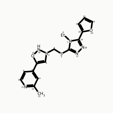 CCn1c(SCN2C=C(c3ccnc(C)c3)ON2)nnc1-c1ccco1